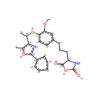 COc1cc(CCCC2NC(=O)OC2=O)ccc1OC(C)c1nc(-c2ccccc2)oc1C